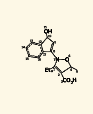 CCC1=C(C(=O)O)C(C)ON1C1=CC(O)c2ccccc21